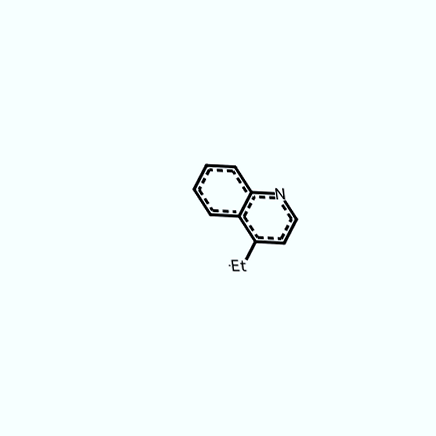 C[CH]c1ccnc2ccccc12